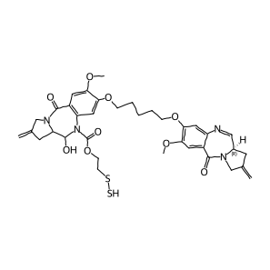 C=C1CC2C(O)N(C(=O)OCCSS)c3cc(OCCCCCOc4cc5c(cc4OC)C(=O)N4CC(=C)C[C@@H]4C=N5)c(OC)cc3C(=O)N2C1